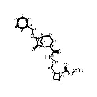 CC(C)(C)OC(=O)N1CC[C@H]1CONC(=O)C1CCC2CN1C(=O)N2OCc1ccccc1